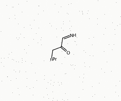 CCCCC(=O)C=N